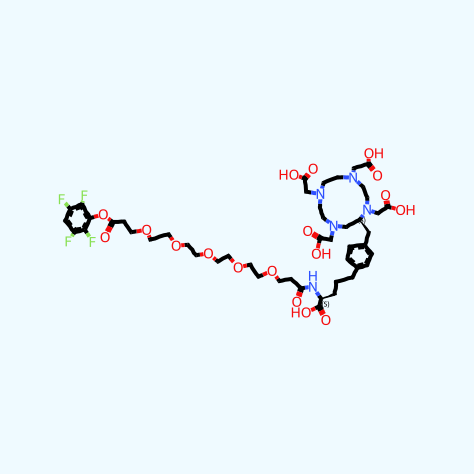 O=C(O)CN1CCN(CC(=O)O)CCN(CC(=O)O)[C@@H](Cc2ccc(CCC[C@H](NC(=O)CCOCCOCCOCCOCCOCCC(=O)Oc3c(F)c(F)cc(F)c3F)C(=O)O)cc2)CN(CC(=O)O)CC1